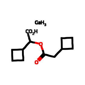 O=C(CC1CCC1)OC(C(=O)O)C1CCC1.[GaH3]